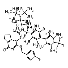 Bc1c(B)c(C(F)(F)F)c(B)c(B)c1-c1c(B)c(B)c(C(B)(B)N(C(=O)Cn2c(SCc3ccc(F)cc3)nc(=O)c3c2CCC3)C(B)(B)C(B)(B)N(C(B)(B)C)C(B)(B)C)c(B)c1B